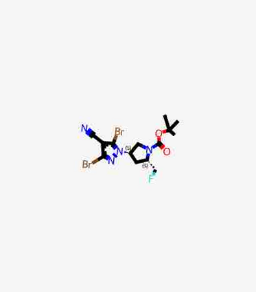 CC(C)(C)OC(=O)N1C[C@@H](n2nc(Br)c(C#N)c2Br)C[C@H]1CF